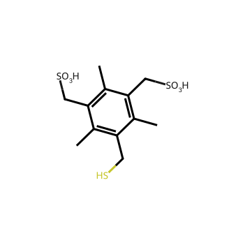 Cc1c(CS)c(C)c(CS(=O)(=O)O)c(C)c1CS(=O)(=O)O